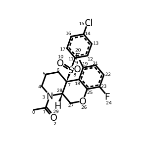 CC(=O)N1CCC[C@]2(S(=O)(=O)c3ccc(Cl)cc3)c3c(F)ccc(F)c3OC[C@H]12